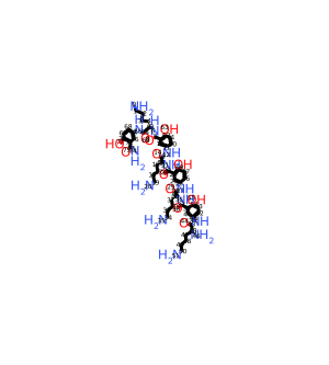 NCCCC[C@H](NC(=O)c1cc(NC(=O)[C@H](CCCCN)NC(=O)c2cc(NC(=O)[C@H](CCCCN)NC(=O)C3CC(NC(=O)[C@@H](N)CCCCN)=CC=C3O)ccc2O)ccc1O)C(=O)Nc1ccc(O)c(C(N)=O)c1